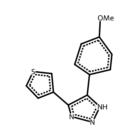 COc1ccc(-c2[nH]nnc2-c2ccsc2)cc1